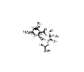 CCCCC(CC)COC(=O)C(CCCC)(CC(=O)c1c(C)cc(C)cc1C)P=O